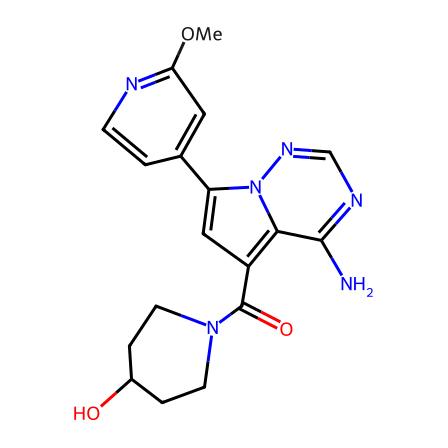 COc1cc(-c2cc(C(=O)N3CCC(O)CC3)c3c(N)ncnn23)ccn1